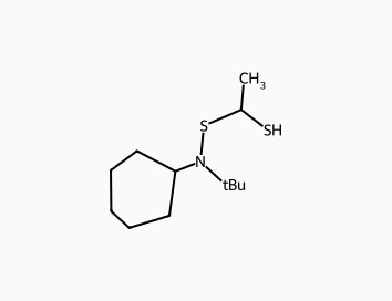 CC(S)SN(C1CCCCC1)C(C)(C)C